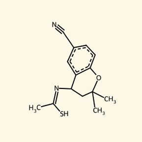 CC(S)=NC1CC(C)(C)Oc2ccc(C#N)cc21